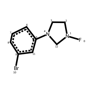 FN1CCN(c2cccc(Br)c2)C1